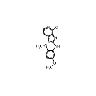 COc1ccc(OC)c(Nc2nc3c(Cl)nccn3n2)c1